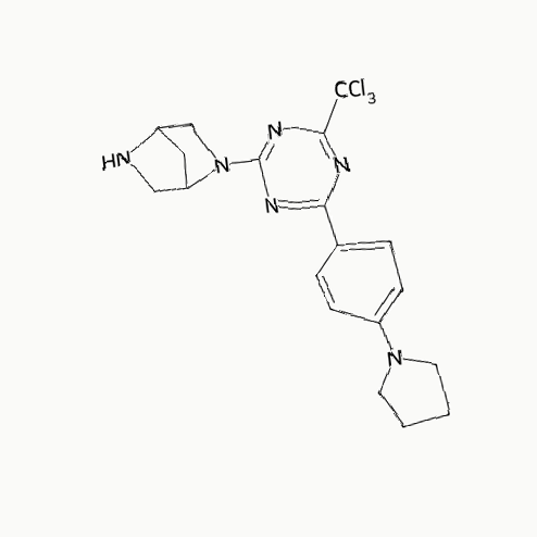 ClC(Cl)(Cl)c1nc(-c2ccc(N3CCCC3)cc2)nc(N2CC3CC2CN3)n1